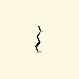 CCC/C=C/CPC